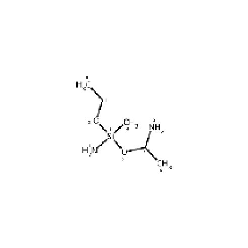 CCO[Si](C)(N)OC(C)N